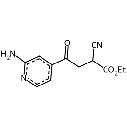 CCOC(=O)C(C#N)CC(=O)c1ccnc(N)c1